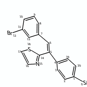 CSc1ccc(C(=Cc2cccc(Br)c2)c2nccs2)cc1